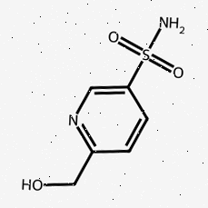 NS(=O)(=O)c1ccc(CO)nc1